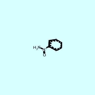 N[N+](=O)c1c[c]ccc1